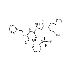 NCCN(CCN)C(=O)C[C@H](N)C(=O)N[C@@H](CCc1ccccc1)C(=O)Nc1ccccc1OC(F)(F)F